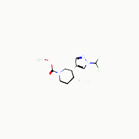 CCOC(=O)[C@@H]1CCN(C(=O)OC(C)(C)C)C[C@H]1c1cnn(C(F)F)c1